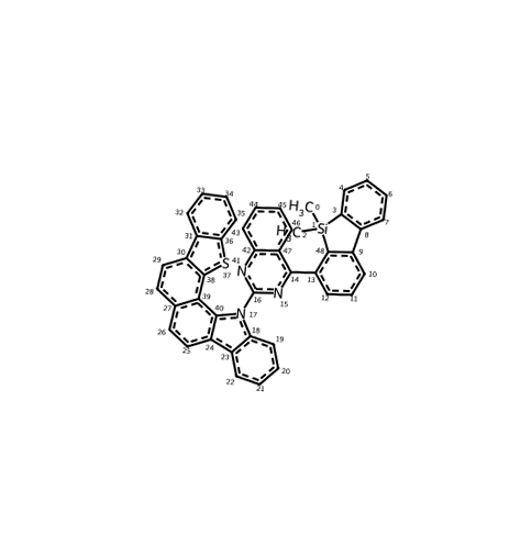 C[Si]1(C)c2ccccc2-c2cccc(-c3nc(-n4c5ccccc5c5ccc6ccc7c8ccccc8sc7c6c54)nc4ccccc34)c21